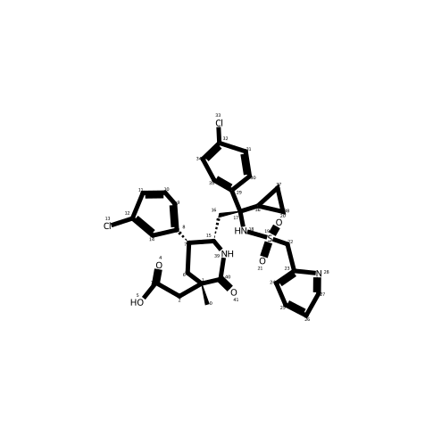 C[C@@]1(CC(=O)O)C[C@H](c2cccc(Cl)c2)[C@H](C[C@@](NS(=O)(=O)Cc2ccccn2)(c2ccc(Cl)cc2)C2CC2)NC1=O